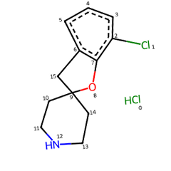 Cl.Clc1cccc2c1OC1(CCNCC1)C2